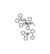 CCC(/N=C(\N=C(/N)c1cccc(-c2cccc(-c3ccccc3)c2C2=C3c4ccccc4-c4ccccc4[C@H]32)c1)c1ccccc1)n1c2ccccc2c2cccc(-c3ccccc3)c21